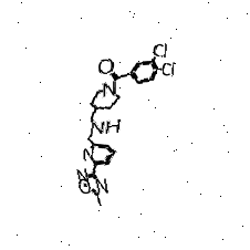 Cc1nc(-c2cccc(CNCC3CCN(C(=O)c4ccc(Cl)c(Cl)c4)CC3)n2)no1